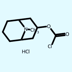 CN1C2CCCC1CC(OC(=O)Cl)C2.Cl